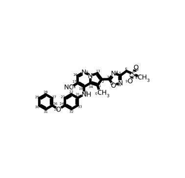 Cc1c(-c2nc(CS(C)(=O)=O)no2)cn2ncc(C#N)c(Nc3ccc(Oc4ccccc4)cc3)c12